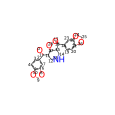 O=C(c1ccc2c(c1)OCO2)C1CNCC(C(=O)c2ccc3c(c2)OCO3)C1=O